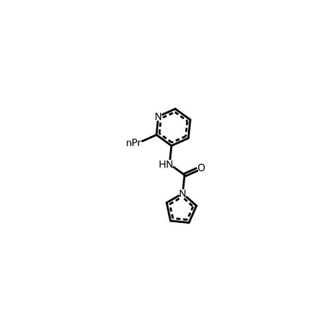 CCCc1ncccc1NC(=O)n1cccc1